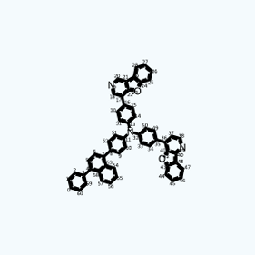 c1ccc(-c2ccc(-c3ccc(N(c4ccc(-c5cncc6c5oc5ccccc56)cc4)c4ccc(-c5ccnc6c5oc5ccccc56)cc4)cc3)c3ccccc23)cc1